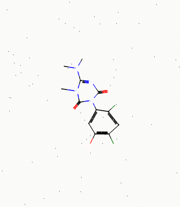 CN(C)c1nc(=O)n(-c2cc(O)c(Cl)cc2F)c(=O)n1C